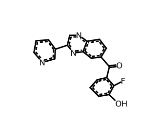 O=C(c1ccc2ncc(-c3cccnc3)nc2c1)c1cccc(O)c1F